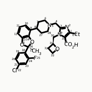 CCc1nc(CN2CCC(c3cccc4c3O[C@@](C)(c3ccc(Cl)cc3F)O4)CC2)n(C[C@@H]2CCO2)c1C(=O)O